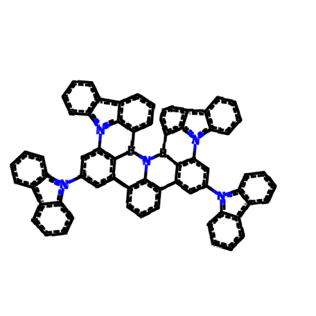 c1cc2c3c(c1)-c1cc(-n4c5ccccc5c5ccccc54)cc4c1B(c1cccc5c6ccccc6n-4c15)N3B1c3c-2cc(-n2c4ccccc4c4ccccc42)cc3-n2c3ccccc3c3cccc1c32